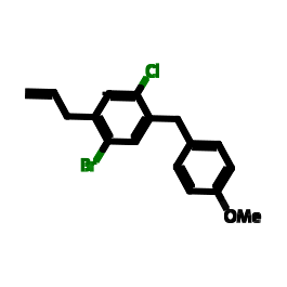 C=CCc1[c]c(Cl)c(Cc2ccc(OC)cc2)cc1Br